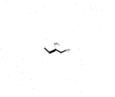 [AlH3].[CH2]CCCC=CC